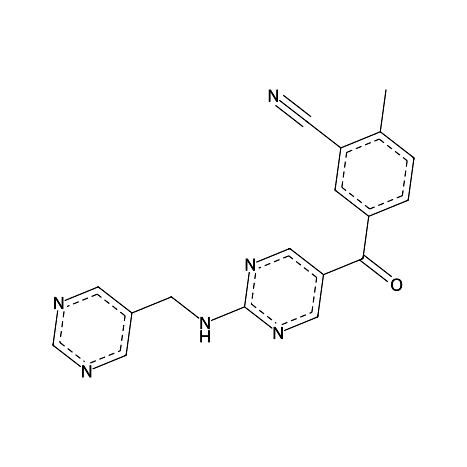 Cc1ccc(C(=O)c2cnc(NCc3cncnc3)nc2)cc1C#N